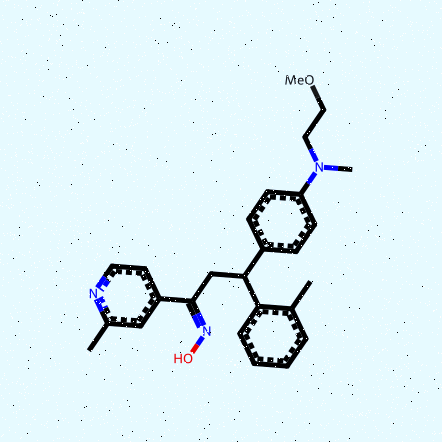 COCCN(C)c1ccc(C(CC(=NO)c2ccnc(C)c2)c2ccccc2C)cc1